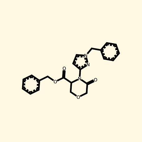 O=C(OCc1ccccc1)C1COCC(=O)N1c1ccn(Cc2ccccc2)n1